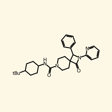 CC(C)(C)C1CCC(NC(=O)N2CCC3(CC2)C(=O)N(c2ccccn2)C3c2ccccc2)CC1